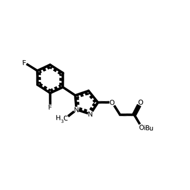 CC(C)COC(=O)COc1cc(-c2ccc(F)cc2F)n(C)n1